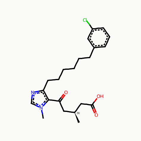 C[C@H](CC(=O)O)CC(=O)c1c(CCCCCCc2cccc(Cl)c2)ncn1C